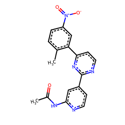 CC(=O)Nc1cc(-c2nccc(-c3cc([N+](=O)[O-])ccc3C)n2)ccn1